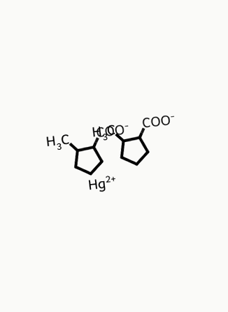 CC1CCCC1C(=O)[O-].CC1CCCC1C(=O)[O-].[Hg+2]